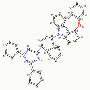 c1ccc(-c2nc(-c3ccccc3)nc(-c3ccc(-n4c5cccc6oc7ccccc7c7cccc4c7c65)c4ccccc34)n2)cc1